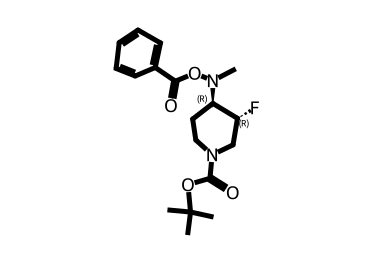 CN(OC(=O)c1ccccc1)[C@@H]1CCN(C(=O)OC(C)(C)C)C[C@H]1F